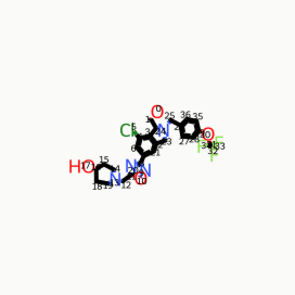 O=CC1c2c(Cl)cc(-c3noc(CN4CCC(O)CC4)n3)cc2CN1Cc1ccc(OC(F)(F)F)cc1